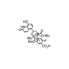 COc1cc(C(=O)O)c(F)cc1CN(CC(O[Si](C)(C)C(C)(C)C)c1ccc(O)c2[nH]c(=O)ccc12)C(=O)OC(C)(C)C